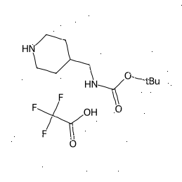 CC(C)(C)OC(=O)NCC1CCNCC1.O=C(O)C(F)(F)F